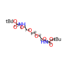 CC(C)(C)OC(=O)NOCCOCCOCCONC(=O)OC(C)(C)C